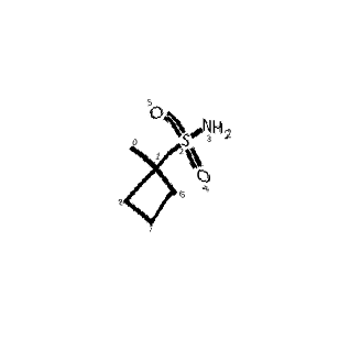 CC1(S(N)(=O)=O)CCC1